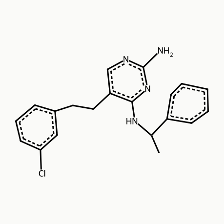 CC(Nc1nc(N)ncc1CCc1cccc(Cl)c1)c1ccccc1